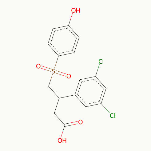 O=C(O)CC(CS(=O)(=O)c1ccc(O)cc1)c1cc(Cl)cc(Cl)c1